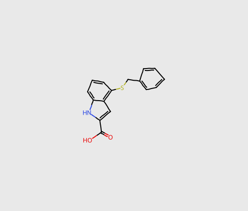 O=C(O)c1cc2c(SCc3ccccc3)cccc2[nH]1